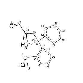 COc1ccccc1[C@@](C)(CNC=O)c1ccccc1